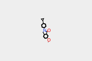 COc1ccc2c(c1)C(=O)N(c1ccc(C3CC3)cc1)C2